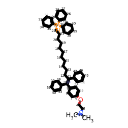 CN(C)CCOc1ccc(/C(=C(/CCCCCCCCCCC[PH](c2ccccc2)(c2ccccc2)c2ccccc2)c2ccccc2)c2ccccc2)cc1